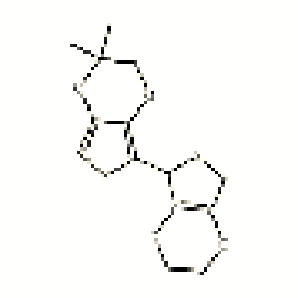 CC1(C)COc2c(csc2C2SCC3=C2OCCO3)O1